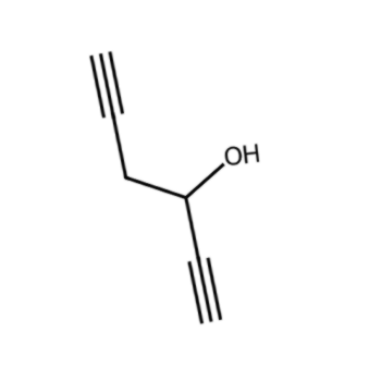 C#CCC(O)C#C